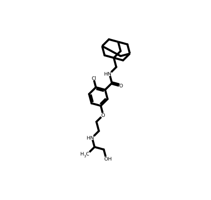 CC(CO)NCCOc1ccc(Cl)c(C(=O)NCC23CC4CC(CC(C4)C2)C3)c1